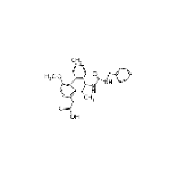 CCC(NC(=O)NCc1ccccc1)c1ccc(C)cc1-c1cc(CC(=O)O)ccc1OC